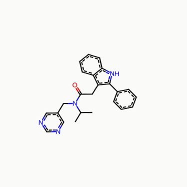 CC(C)N(Cc1cncnc1)C(=O)Cc1c(-c2ccccc2)[nH]c2ccccc12